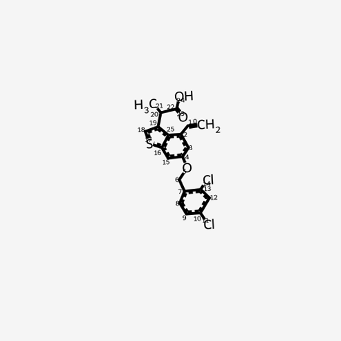 C=Cc1cc(OCc2ccc(Cl)cc2Cl)cc2scc(C(C)C(=O)O)c12